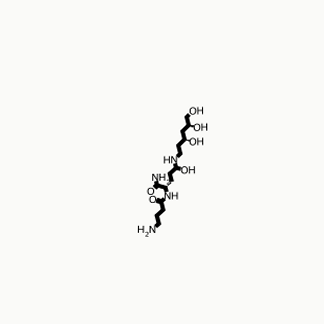 NCCCC(=O)N[C@@H](CCC(O)NCC[C@@H](O)C[C@H](O)CO)C(N)=O